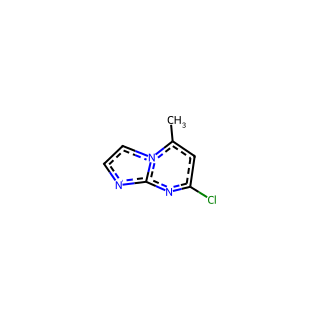 Cc1cc(Cl)nc2nccn12